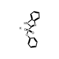 O=S(=O)(Oc1ccccc1)c1nc2ccccc2[nH]1.[K]